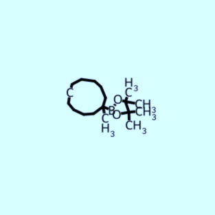 CC1(B2OC(C)(C)C(C)(C)O2)CCCCCCCCCC1